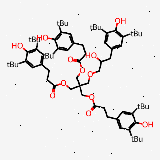 CC(C)(C)c1cc(CCC(=O)OCC(COCC(O)Cc2cc(C(C)(C)C)c(O)c(C(C)(C)C)c2)(COC(=O)CCc2cc(C(C)(C)C)c(O)c(C(C)(C)C)c2)COC(=O)CCc2cc(C(C)(C)C)c(O)c(C(C)(C)C)c2)cc(C(C)(C)C)c1O